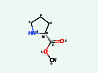 N#COC(=O)[C@H]1CCCN1